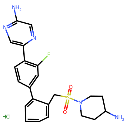 Cl.Nc1cnc(-c2ccc(-c3ccccc3CS(=O)(=O)N3CCC(N)CC3)cc2F)cn1